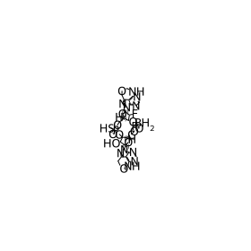 BP1(=O)OC[C@H]2O[C@@H](n3nc4c5c(ncnc53)NOCC4)C(O)C2OP(=O)(S)OC[C@H]2O[C@@H](n3nc4c5c(ncnc53)NCOC4)C(F)C2O1